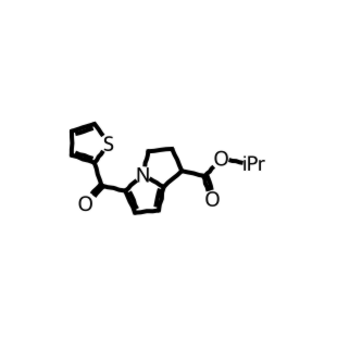 CC(C)OC(=O)C1CCn2c(C(=O)c3cccs3)ccc21